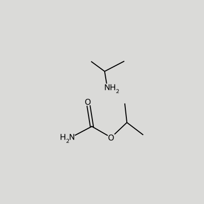 CC(C)N.CC(C)OC(N)=O